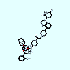 N=C(N)/C(=C\C(=N)c1ccccc1O)N1CC2CCC(C1)N2c1cccc(OC2CCN(C(=O)CN3CCC(c4cccc5c4SCCN5C4CCC(=O)NC4=O)CC3)CC2)c1